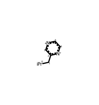 CC(C)Cc1cnccn1